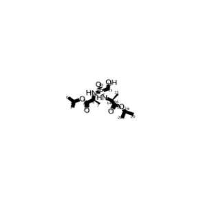 CC(C)OC(=O)[C@H](C)NP(=O)(CO)N[C@@H](C)C(=O)OC(C)C